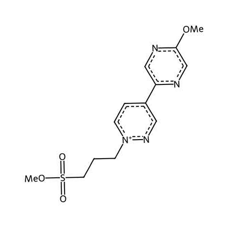 COc1cnc(-c2cc[n+](CCCS(=O)(=O)OC)nc2)cn1